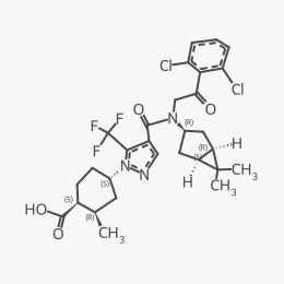 C[C@@H]1C[C@@H](n2ncc(C(=O)N(CC(=O)c3c(Cl)cccc3Cl)[C@H]3C[C@@H]4[C@H](C3)C4(C)C)c2C(F)(F)F)CC[C@@H]1C(=O)O